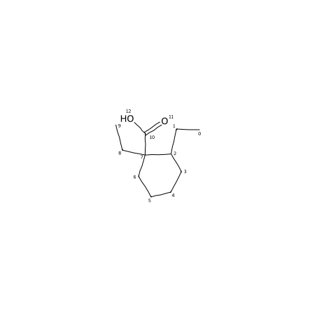 CCC1CCCCC1(CC)C(=O)O